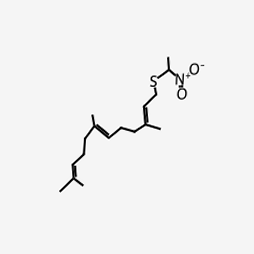 CC(C)=CCCC(C)=CCCC(C)=CCSC(C)[N+](=O)[O-]